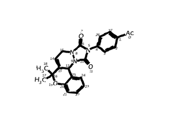 CC(=O)c1ccc(-n2c(=O)n3n(c2=O)C2C(=CC3)C(C)(C)Oc3c[c]ccc32)cc1